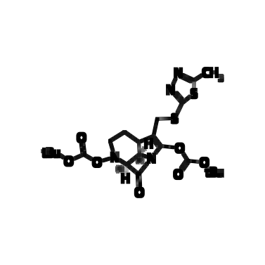 Cc1nnc(SCC2=C(OC(=O)OC(C)(C)C)N3C(=O)[C@@H]4[C@H]3C2CCN4OC(=O)OC(C)(C)C)s1